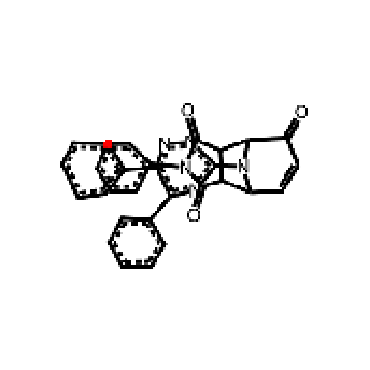 O=C1C=CC2C3C(=O)N(c4ccccc4)C(=O)C3C1N2c1nnc(-c2ccccc2)c(-c2ccccc2)n1